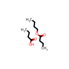 CCCC(=O)O.CCCCOC(=O)CCC